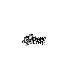 CCc1nc2c(Cl)cc(C)nc2n1Cc1ccc2c(c1)OCc1ccccc1/C2=C(/C)c1noc(=O)[nH]1